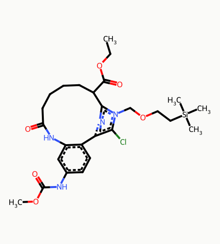 CCOC(=O)C1CCCCC(=O)Nc2cc(NC(=O)OC)ccc2-c2nc1n(COCC[Si](C)(C)C)c2Cl